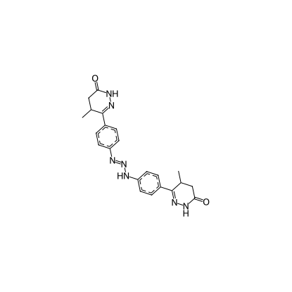 CC1CC(=O)NN=C1c1ccc(/N=N/Nc2ccc(C3=NNC(=O)CC3C)cc2)cc1